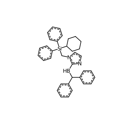 B(c1nccn1C[Si](c1ccccc1)(c1ccccc1)C1CCCCC1)C(c1ccccc1)c1ccccc1